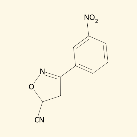 N#CC1CC(c2cccc([N+](=O)[O-])c2)=NO1